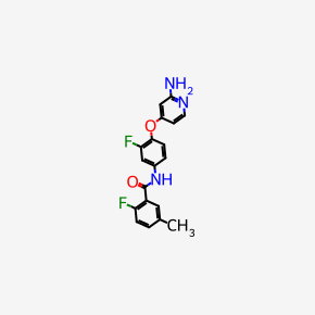 Cc1ccc(F)c(C(=O)Nc2ccc(Oc3ccnc(N)c3)c(F)c2)c1